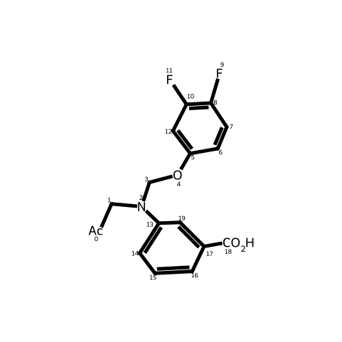 CC(=O)CN(COc1ccc(F)c(F)c1)c1cccc(C(=O)O)c1